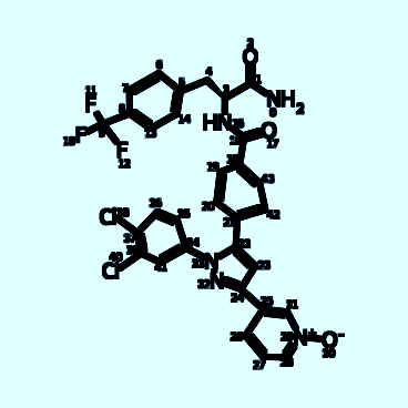 NC(=O)[C@H](Cc1ccc(C(F)(F)F)cc1)NC(=O)c1ccc(-c2cc(-c3ccc[n+]([O-])c3)nn2-c2ccc(Cl)c(Cl)c2)cc1